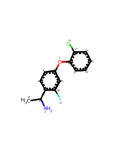 CC(N)c1ccc(Oc2ccccc2Cl)cc1F